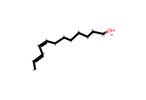 C/C=C/C=C\CCCCCCCO